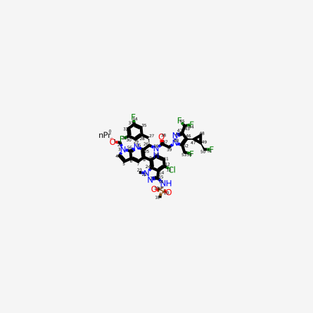 CCCOCn1ccc2cc(-c3ccc(Cl)c4c(NS(C)(=O)=O)nn(C)c34)c([C@H](Cc3cc(F)cc(F)c3)NC(=O)Cn3nc(C(F)F)c([C@H]4C[C@H]4CF)c3CF)nc21